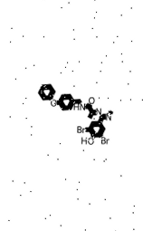 C/N=C(\N=C(/C)C(=O)NCc1ccc(Oc2ccccc2)cc1)c1cc(Br)c(O)c(Br)c1